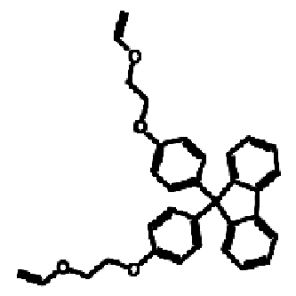 C=COCCOc1ccc(C2(c3ccc(OCCOC=C)cc3)c3ccccc3-c3ccccc32)cc1